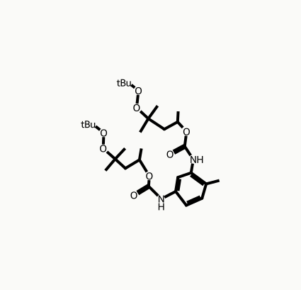 Cc1ccc(NC(=O)OC(C)CC(C)(C)OOC(C)(C)C)cc1NC(=O)OC(C)CC(C)(C)OOC(C)(C)C